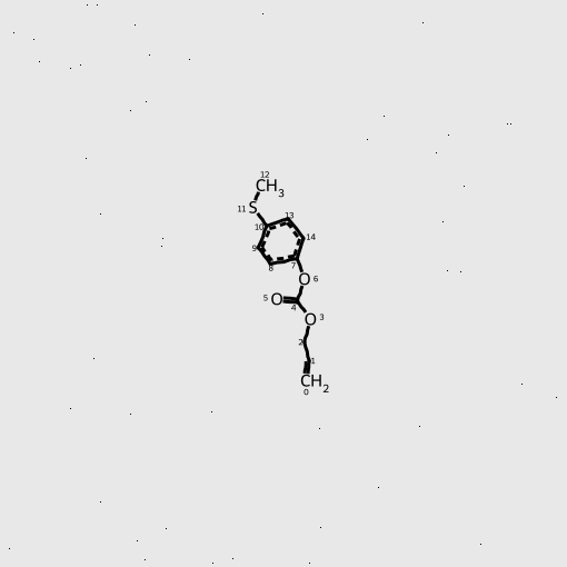 C=CCOC(=O)Oc1ccc(SC)cc1